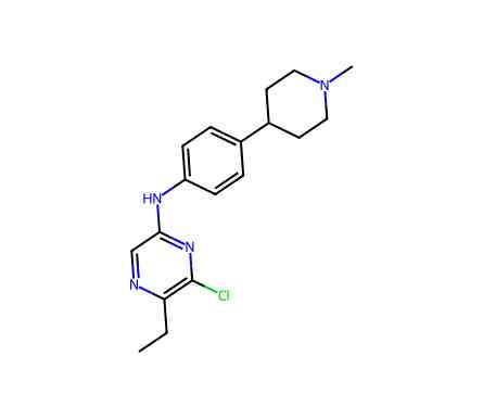 CCc1ncc(Nc2ccc(C3CCN(C)CC3)cc2)nc1Cl